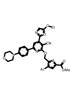 CCOc1cnc(-c2cc(-c3ccc(N4CCOCC4)cc3)nc(OCc3sc(C(=O)OC)cc3C(C)=O)c2C#N)o1